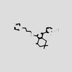 CC1(C)CC(=O)c2c(NCCCn3ccnc3)sc(-c3cc[nH]n3)c2C1